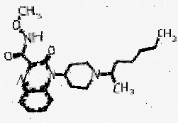 CCCCCC(C)N1CCC(n2c(=O)c(C(=O)NOC)nc3ccccc32)CC1